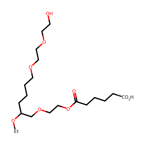 CCOC(CCCCOCCOCCO)COCCOC(=O)CCCCC(=O)O